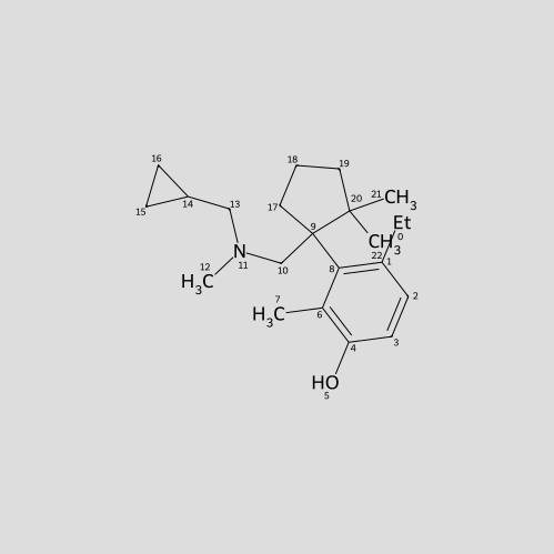 CCc1ccc(O)c(C)c1C1(CN(C)CC2CC2)CCCC1(C)C